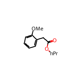 CCCOC(=O)Cc1ccccc1OC